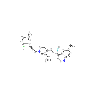 COc1ccc2nccc([C@H](F)CC[C@@H]3CCN(CC#Cc4cc(C(F)(F)F)ccc4Cl)C[C@@H]3CC(=O)O)c2c1